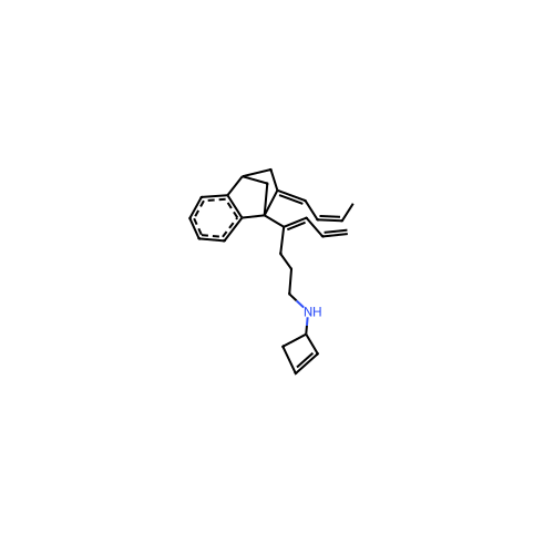 C=C/C=C(\CCCNC1C=CC1)C12CC(C/C1=C/C=C\C)c1ccccc12